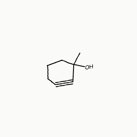 CC1(O)C#CCCC1